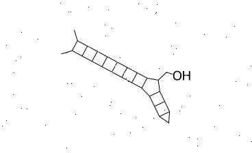 CC1C(C)C2C1C1C2C2C1C1C3C4C5C(CO)C6C7C8CC8C7C6C5C4C3C21